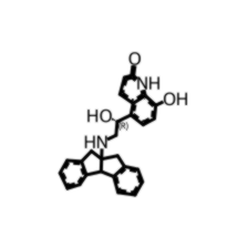 O=c1ccc2c([C@@H](O)CNC34Cc5ccccc5C3c3ccccc3C4)ccc(O)c2[nH]1